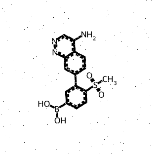 CS(=O)(=O)c1ccc(B(O)O)cc1-c1ccc2c(N)cnnc2c1